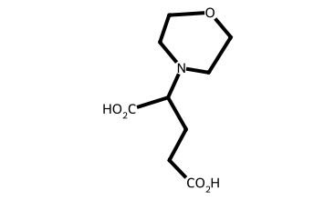 O=C(O)CCC(C(=O)O)N1CCOCC1